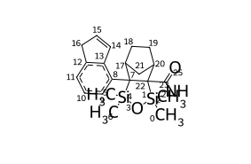 C[Si]1(C)O[Si](C)(C)C2(c3cccc4c3C=CC4)C3CCC(C3)C21C([NH])=O